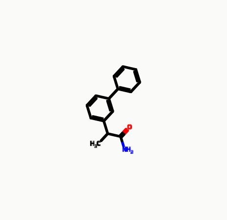 CC(C(N)=O)c1cccc(-c2ccccc2)c1